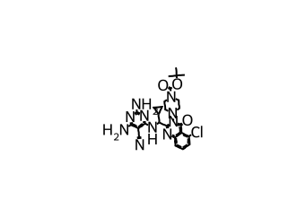 CC(C)(C)OC(=O)N1CCN(n2c(C(Nc3nc(N)nc(N)c3C#N)C3CC3)nc3cccc(Cl)c3c2=O)CC1